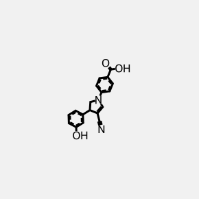 N#CC1=CN(c2ccc(C(=O)O)cc2)CC1c1cccc(O)c1